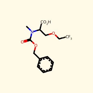 CN(C(=O)OCc1ccccc1)C(COCC(F)(F)F)C(=O)O